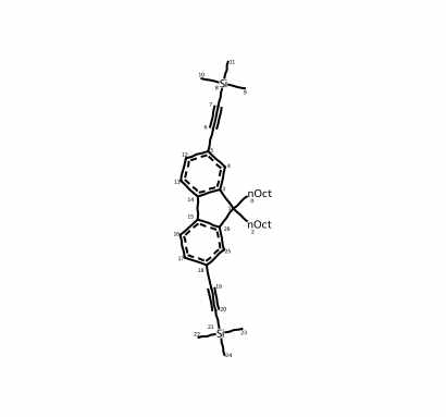 CCCCCCCCC1(CCCCCCCC)c2cc(C#C[Si](C)(C)C)ccc2-c2ccc(C#C[Si](C)(C)C)cc21